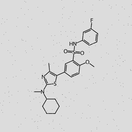 COc1ccc(-c2sc(N(C)C3CCCCC3)nc2C)cc1S(=O)(=O)Nc1cccc(F)c1